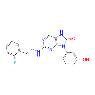 O=c1[nH]c2cnc(NCCc3ccccc3F)nc2n1-c1cccc(O)c1